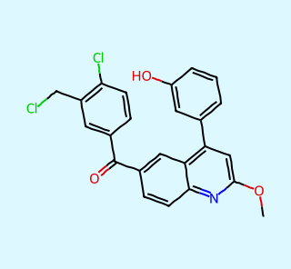 COc1cc(-c2cccc(O)c2)c2cc(C(=O)c3ccc(Cl)c(CCl)c3)ccc2n1